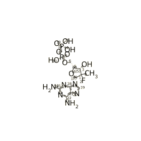 CC1(F)[C@@H](O)[C@@H](COP(=O)(O)OP(=O)(O)O)O[C@H]1n1cnc2c(N)nc(N)nc21